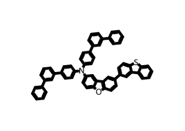 c1ccc(-c2cccc(-c3ccc(N(c4ccc(-c5cccc(-c6ccccc6)c5)cc4)c4ccc5oc6ccc(-c7ccc8sc9ccccc9c8c7)cc6c5c4)cc3)c2)cc1